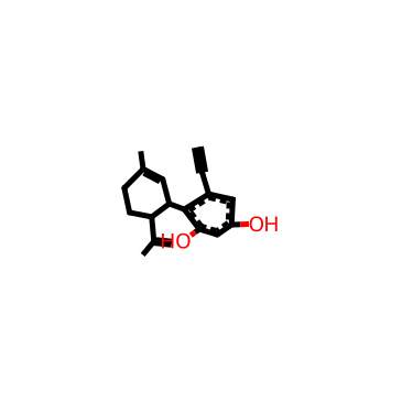 C#Cc1cc(O)cc(O)c1C1C=C(C)CCC1C(=C)C